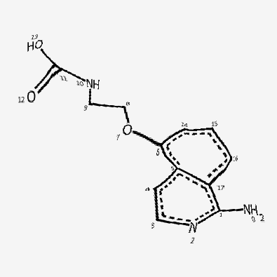 Nc1nccc2c(OCCNC(=O)O)cccc12